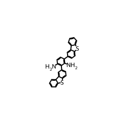 Nc1ccc(-c2ccc3sc4ccccc4c3c2)c(N)c1-c1ccc2sc3ccccc3c2c1